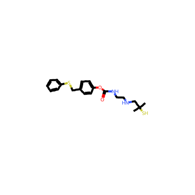 CC(C)(S)CNCCNC(=O)Oc1ccc(CSc2ccccc2)cc1